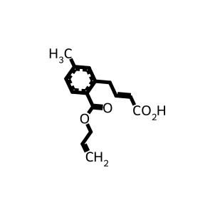 C=CCOC(=O)c1ccc(C)cc1C/C=C/C(=O)O